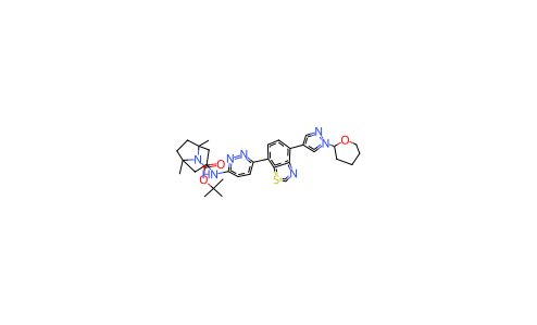 CC(C)(C)OC(=O)N1C2(C)CCC1(C)CC(Nc1ccc(-c3ccc(-c4cnn(C5CCCCO5)c4)c4ncsc34)nn1)C2